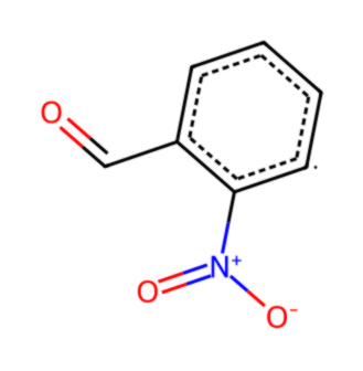 O=Cc1ccc[c]c1[N+](=O)[O-]